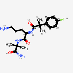 CC(C)(NC(=O)/C(CCCN)=N/C(=O)C(C)(C)c1ccc(F)cc1)C(N)=O